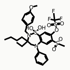 CCCCC1(CC)CN(c2ccccc2)c2cc(S(C)(=O)=O)c(OS(=O)(=O)C(F)(F)F)cc2S(O)(O)N1Cc1ccc(OC)cc1